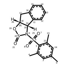 Cc1cc(C)c(S(=O)(=O)N2[C@H]3c4ccccc4C[C@H]3OS2=O)c(C)c1